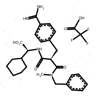 CN(Cc1ccccc1)C(=O)[C@H](Cc1ccc(C(=N)N)cc1)C(=O)N[C@H](C(=O)O)C1CCCCC1.O=C(O)C(F)(F)F